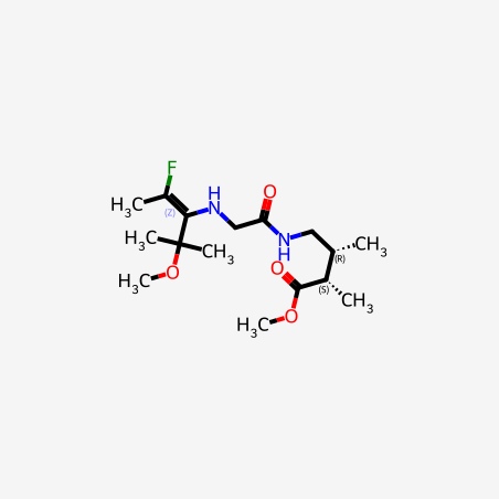 COC(=O)[C@@H](C)[C@@H](C)CNC(=O)CN/C(=C(/C)F)C(C)(C)OC